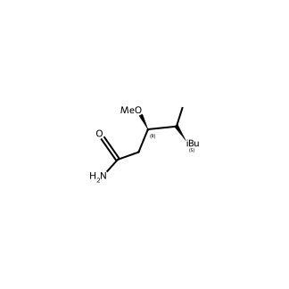 CC[C@H](C)C(C)[C@@H](CC(N)=O)OC